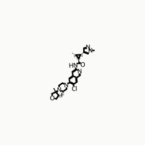 C[C@H]1[C@H](C(=O)Nc2cc3cc(N4CCN([C@@]5(C)COC[C@H]5F)CC4)c(Cl)cc3cn2)[C@H]1c1cnn(C)c1